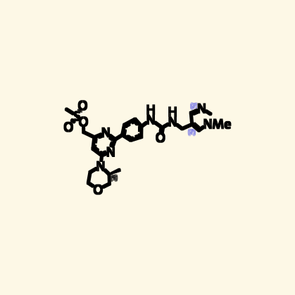 C/N=C\C(=C/NC)CNC(=O)Nc1ccc(-c2nc(COS(C)(=O)=O)cc(N3CCOC[C@@H]3C)n2)cc1